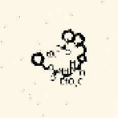 CCOC(=O)[C@H](CNC(=O)C1CC(Cc2ccc3c(n2)N(C(=O)OC(C)(C)C)CCC3)C1)NC(=O)OCc1ccccc1